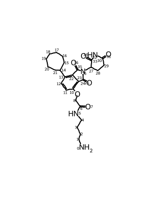 NCCCCNC(=O)COc1ccc(C2CCCCCCC2)c2c1C(=O)N(C1CCC(=O)NC1=O)C2=O